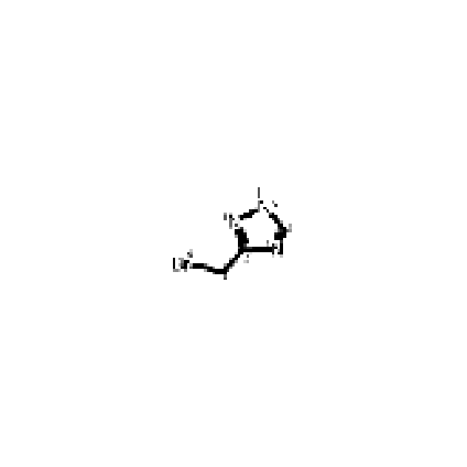 BrCc1nc[nH]n1